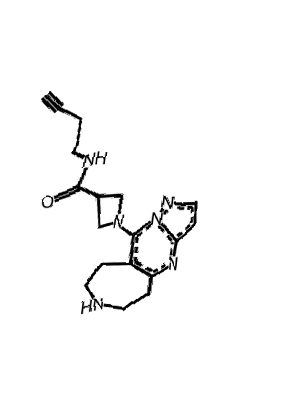 C#CCCNC(=O)C1CN(c2c3c(nc4ccnn24)CCNCC3)C1